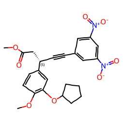 COC(=O)C[C@H](C#Cc1cc([N+](=O)[O-])cc([N+](=O)[O-])c1)c1ccc(OC)c(OC2CCCC2)c1